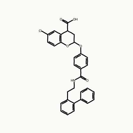 O=C(NCCc1ccccc1-c1ccccc1)c1ccc(OC2CC(C(=O)O)c3cc(Cl)ccc3O2)cc1